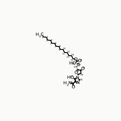 CCCCCCCCCCCCCCCCOP(=O)(O)OC[C@H]1O[C@@H](n2cnc(C(N)=O)c2O)CC1=O